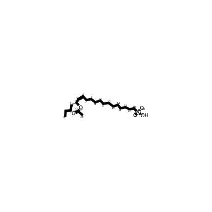 CCCC[C@H](/C=C\CCCCCCCCCCCCS(=O)(=O)O)OC(C)=O